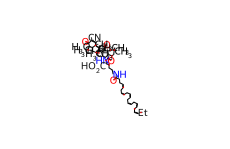 CC/C=C\C/C=C\C/C=C\C/C=C\C/C=C\C/C=C\CCC(=O)NCCCCC(NC(=O)[C@]12CCC(C)(C)C[C@@H]1[C@H]1C(=O)C=C3[C@@]4(C)C=C(C#N)C(=O)C(C)(C)[C@@H]4CC[C@@]3(C)[C@]1(C)CC2)C(=O)O